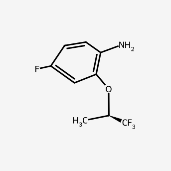 C[C@@H](Oc1cc(F)ccc1N)C(F)(F)F